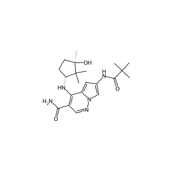 CC(C)(C)C(=O)Nc1cc2c(N[C@@H]3CC[C@@](C)(O)C3(C)C)c(C(N)=O)cnn2c1